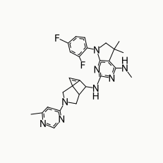 CNc1nc(NC2C3=CC34CN(c3cc(C)ncn3)CC24)nc2c1C(C)(C)CN2c1ccc(F)cc1F